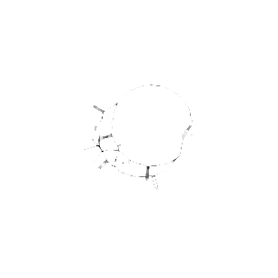 CC1NC(=O)C2CSSCC/C=C/C(CC(=O)N[C@H](C(C)C)C(=O)N2)OC(=O)CNC1=O